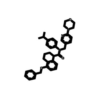 CC(C)c1ccc(N(Cc2ccc(N3CCOCC3)nc2)C(=O)C2CCCc3c(OCc4ccccc4)cccc32)cc1